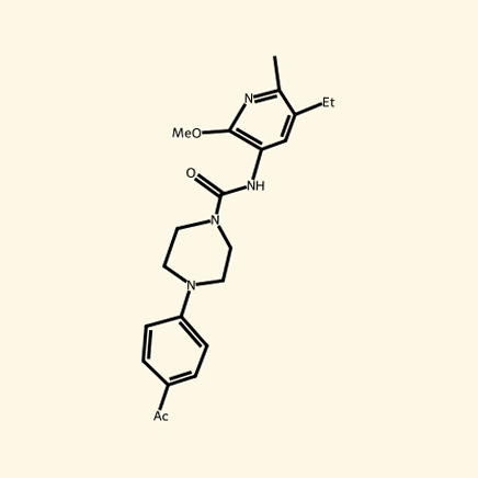 CCc1cc(NC(=O)N2CCN(c3ccc(C(C)=O)cc3)CC2)c(OC)nc1C